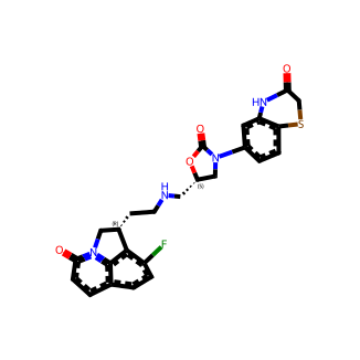 O=C1CSc2ccc(N3C[C@H](CNCC[C@H]4Cn5c(=O)ccc6ccc(F)c4c65)OC3=O)cc2N1